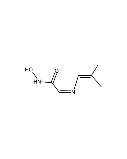 CC(C)=C/N=C\C(=O)NO